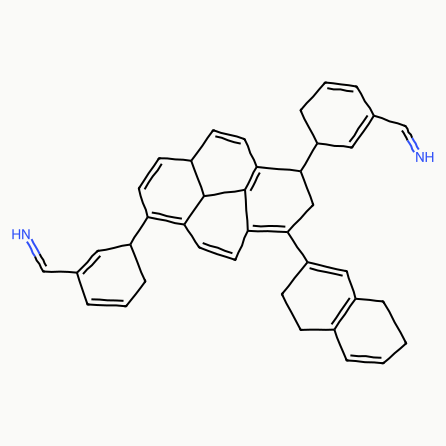 N=CC1=CC(C2=C3C=CC4=C(C5=CC6=C(C=CCC6)CC5)CC(C5C=C(C=N)C=CC5)C5=C4C3C(C=C2)C=C5)CC=C1